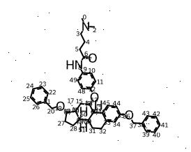 CN(C)CCCC(=O)Nc1ccc(O[C@H]2C[C@]3(C)[C@@H](OCc4ccccc4)CC[C@H]3[C@@H]3CCc4cc(OCc5ccccc5)ccc4[C@H]32)cc1